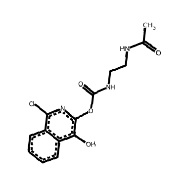 CC(=O)NCCNC(=O)Oc1nc(Cl)c2ccccc2c1O